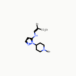 CCOC(=O)/C(=C\Nc1ccnn1C1CCN(C(C)C)CC1)CC